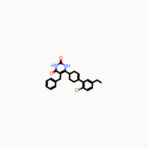 CCc1ccc(Cl)c(C2=CCC(c3[nH]c(=O)[nH]c(=O)c3Cc3ccccc3)CC2)c1